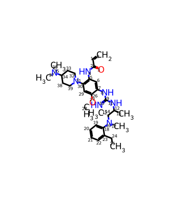 C=CC(=O)Nc1cc(NC(=N)NC(C)[C@@H](C)N(C)c2ccccc2CC)c(OC)cc1N1CCC(N(C)C)CC1